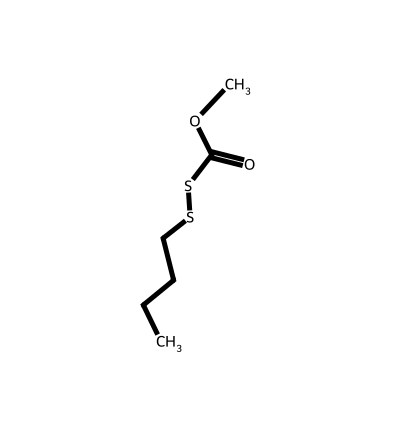 CCCCSSC(=O)OC